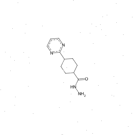 NNC(=O)C1CCC(c2ncccn2)CC1